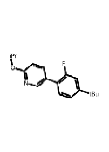 CC(C)Oc1ccc(-c2ccc(C(C)(C)C)cc2F)cn1